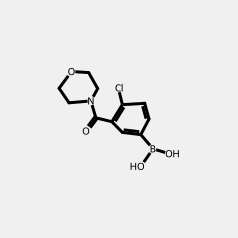 O=C(c1cc(B(O)O)ccc1Cl)N1CCOCC1